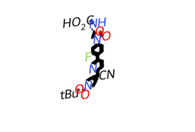 CC(C)(C)OC(=O)N1CC2C(C1)C2(C#N)c1ccc(-c2ccc(N3C[C@H](CNC(=O)O)OC3=O)cc2F)cn1